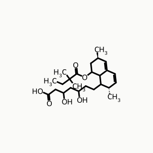 CCC(C)(C)C(=O)OC1C[C@@H](C)C=C2C=C[C@H](C)C(CCC(O)CC(O)CC(=O)O)C21